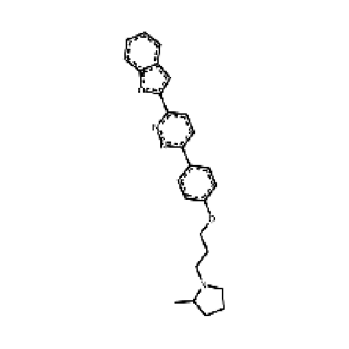 CC1CCCN1CCCOc1ccc(-c2ccc(-c3cc4ccccc4o3)nn2)cc1